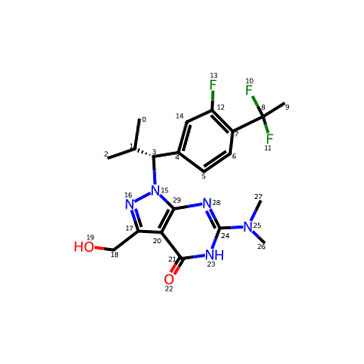 CC(C)[C@H](c1ccc(C(C)(F)F)c(F)c1)n1nc(CO)c2c(=O)[nH]c(N(C)C)nc21